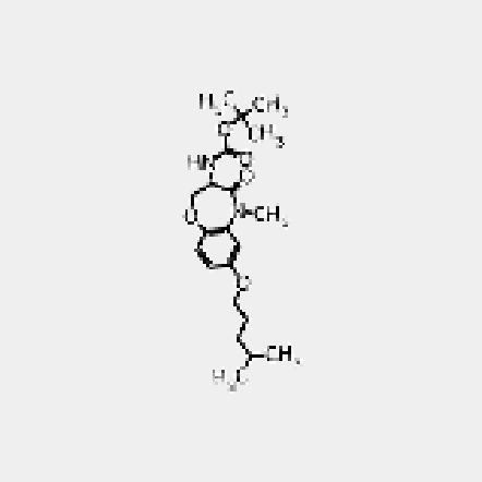 CC(C)CCCOc1ccc2c(c1)N(C)C(=O)[C@@H](NC(=O)OC(C)(C)C)CO2